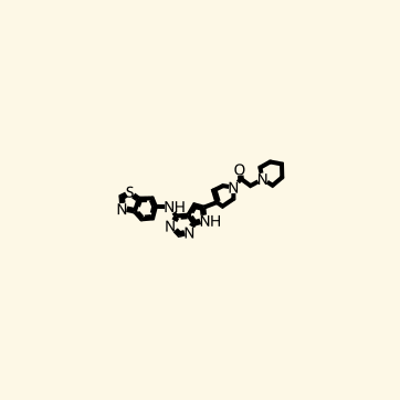 O=C(CN1CCCCC1)N1CC=C(c2cc3c(Nc4ccc5ncsc5c4)ncnc3[nH]2)CC1